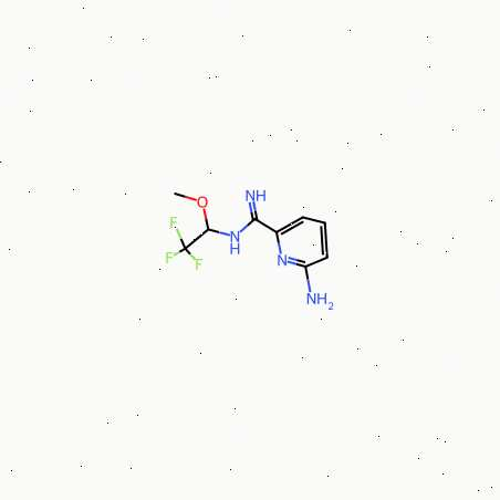 COC(NC(=N)c1cccc(N)n1)C(F)(F)F